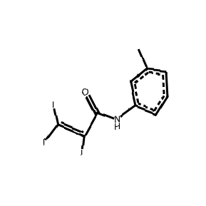 Cc1cccc(NC(=O)C(I)=C(I)I)c1